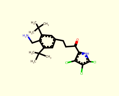 CC(C)(C)c1cc(CCC(=O)c2[nH]c(Cl)c(Cl)c2Cl)cc(C(C)(C)C)c1CN